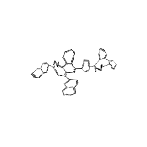 c1ccc2cc(-c3cc(-c4ccc5ccccc5c4)c4cc(-c5ccc(-c6nc7ccccc7c7ccccc67)cc5)c5ccccc5c4n3)ccc2c1